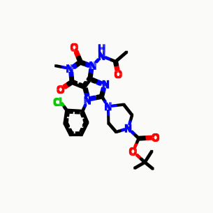 CC(=O)Nn1c(=O)n(C)c(=O)c2c1nc(N1CCN(C(=O)OC(C)(C)C)CC1)n2-c1ccccc1Cl